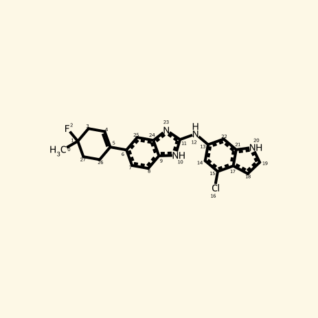 CC1(F)CC=C(c2ccc3[nH]c(Nc4cc(Cl)c5cc[nH]c5c4)nc3c2)CC1